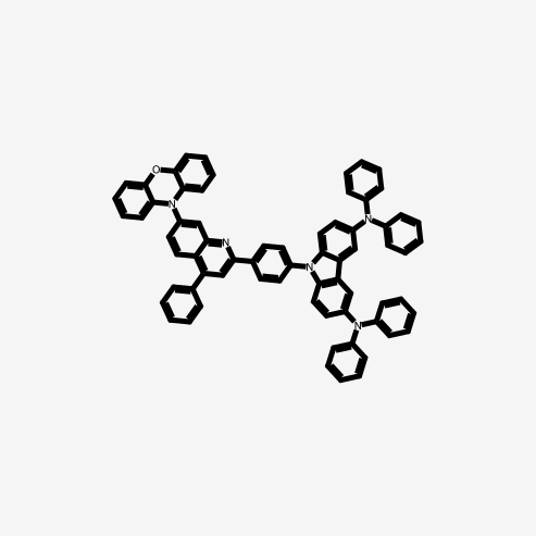 c1ccc(-c2cc(-c3ccc(-n4c5ccc(N(c6ccccc6)c6ccccc6)cc5c5cc(N(c6ccccc6)c6ccccc6)ccc54)cc3)nc3cc(N4c5ccccc5Oc5ccccc54)ccc23)cc1